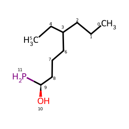 CCCC(CC)CCC[C@@H](O)P